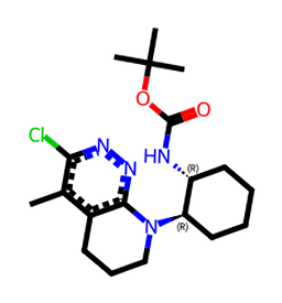 Cc1c(Cl)nnc2c1CCCN2[C@@H]1CCCC[C@H]1NC(=O)OC(C)(C)C